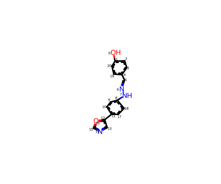 Oc1ccc(/C=N/Nc2ccc(-c3cnco3)cc2)cc1